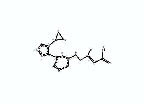 C=C(Cl)/C=C(\C)CNc1cccc(-c2nncn2C2CC2)n1